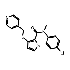 CN(C(=O)c1sccc1SCc1ccncc1)c1ccc(Cl)cc1